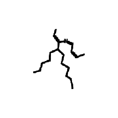 C\C=C/C=N\C(=C/C)C(CCCCC)CCCCCC